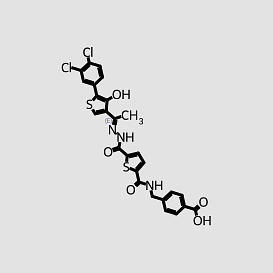 C/C(=N\NC(=O)c1ccc(C(=O)NCc2ccc(C(=O)O)cc2)s1)c1csc(-c2ccc(Cl)c(Cl)c2)c1O